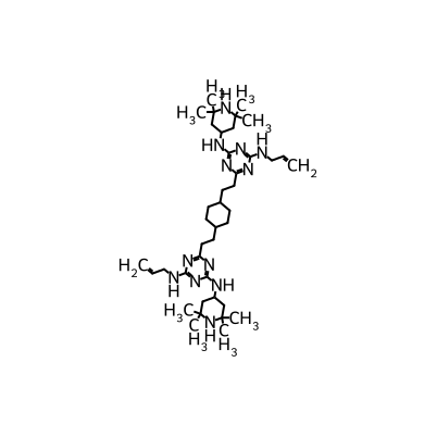 C=CCNc1nc(CCC2CCC(CCc3nc(NCC=C)nc(NC4CC(C)(C)NC(C)(C)C4)n3)CC2)nc(NC2CC(C)(C)NC(C)(C)C2)n1